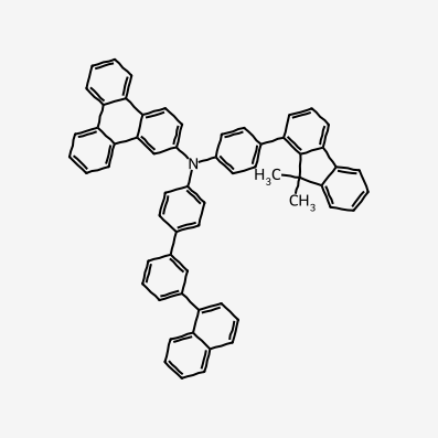 CC1(C)c2ccccc2-c2cccc(-c3ccc(N(c4ccc(-c5cccc(-c6cccc7ccccc67)c5)cc4)c4ccc5c6ccccc6c6ccccc6c5c4)cc3)c21